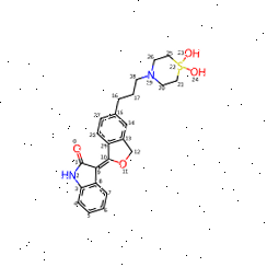 O=C1Nc2ccccc2C1=C1OCc2cc(CCCN3CCS(O)(O)CC3)ccc21